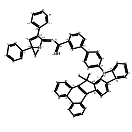 CC1(C)c2c(c3ccccc3c3ccccc23)-c2ccc3c4ccccc4n(-c4ccc(-c5cccc(C(=N)/N=C6/C(c7ccccc7)=CC7(c8ccccc8)CN67)c5)cc4)c3c21